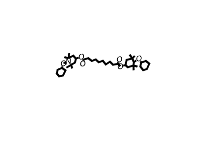 CC1(C)CC(OC(=O)CCCCCCCCC(=O)OC2CC(C)(C)N(OC3CCCCC3)C(C)(C)C2)CC(C)(C)C1OC1CCCCC1